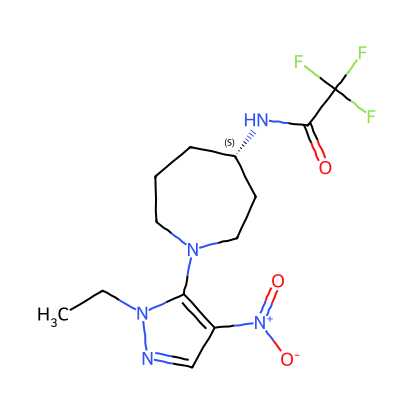 CCn1ncc([N+](=O)[O-])c1N1CCC[C@H](NC(=O)C(F)(F)F)CC1